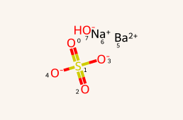 O=S(=O)([O-])[O-].[Ba+2].[Na+].[OH-]